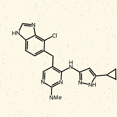 CNc1ncc(Cc2ccc3[nH]cnc3c2Cl)c(Nc2cc(C3CC3)[nH]n2)n1